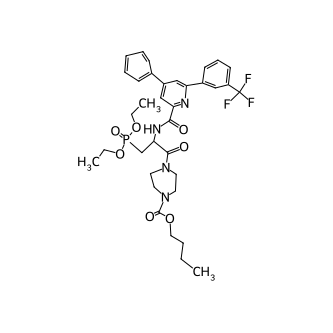 CCCCOC(=O)N1CCN(C(=O)C(CP(=O)(OCC)OCC)NC(=O)c2cc(-c3ccccc3)cc(-c3cccc(C(F)(F)F)c3)n2)CC1